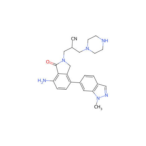 Cn1ncc2ccc(-c3ccc(N)c4c3CN(CC(C#N)CN3CCNCC3)C4=O)cc21